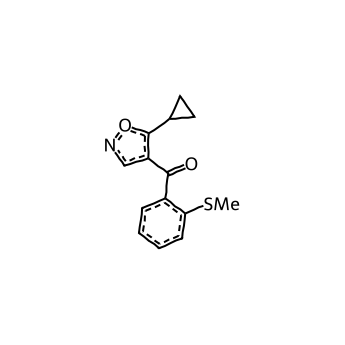 CSc1ccccc1C(=O)c1cnoc1C1CC1